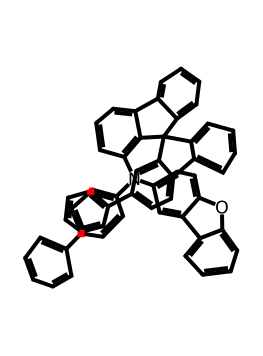 c1ccc(-c2ccc(N(c3ccc4oc5ccccc5c4c3)c3cccc4c3C3(c5ccccc5-c5ccc(-c6ccccc6)cc53)c3ccccc3-4)cc2)cc1